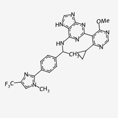 COc1ncnc(C2CC2)c1-c1nc(NC(C)c2ccc(-c3nc(C(F)(F)F)cn3C)cc2)c2[nH]cnc2n1